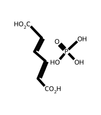 O=C(O)C=CC=CC(=O)O.O=P(O)(O)O